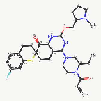 C=CC(=O)N1CCN(C2NC(OCC3CCCN3C)NC3C(=O)[C@]4(CCc5ccc(F)cc5S4)CCC32)CC1CC#N